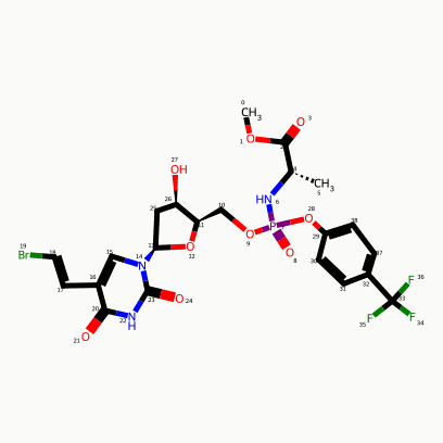 COC(=O)[C@H](C)NP(=O)(OC[C@H]1O[C@@H](n2cc(/C=C/Br)c(=O)[nH]c2=O)C[C@H]1O)Oc1ccc(C(F)(F)F)cc1